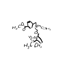 CCN(CCOCc1ccc(C(C)(C)C)s1)Cc1ccc(C(=O)OC)cc1